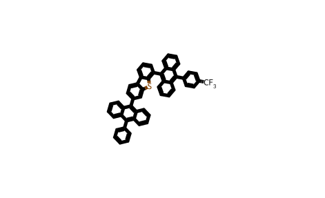 FC(F)(F)c1ccc(-c2c3ccccc3c(-c3cccc4c3sc3cc(-c5c6ccccc6c(-c6ccccc6)c6ccccc56)ccc34)c3ccccc23)cc1